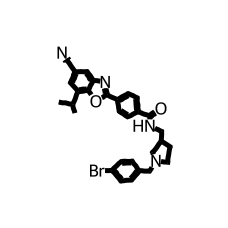 CC(C)c1cc(C#N)cc2nc(-c3ccc(C(=O)NCC4CCN(Cc5ccc(Br)cc5)C4)cc3)oc12